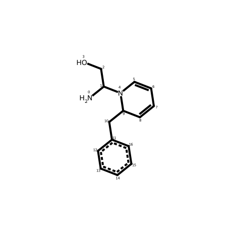 NC(CO)N1C=CC=CC1Cc1ccccc1